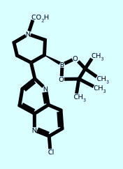 CC1(C)OB([C@@H]2CN(C(=O)O)CCC2c2ccc3nc(Cl)ccc3n2)OC1(C)C